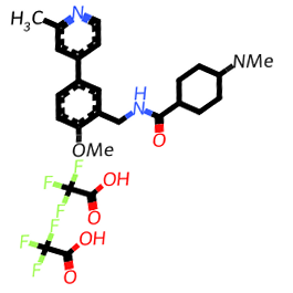 CNC1CCC(C(=O)NCc2cc(-c3ccnc(C)c3)ccc2OC)CC1.O=C(O)C(F)(F)F.O=C(O)C(F)(F)F